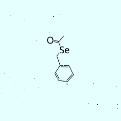 CC(=O)[Se]Cc1cc[c]cc1